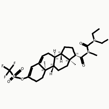 CCN(CC)C(=O)N(C)C(=O)[C@H]1CC[C@H]2[C@@H]3CC=C4C=C(OS(=O)(=O)C(F)(F)F)CC[C@]4(C)[C@H]3CC[C@]12C